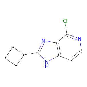 Clc1nccc2[nH]c(C3CCC3)nc12